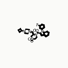 O=C(C1CS(=O)(=O)CCN1C(=O)c1cc2ccccc2n1-c1cccc(F)c1)N1CCN(C2CCC2)CC1